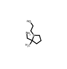 CC1(CN)CCCN1CCO